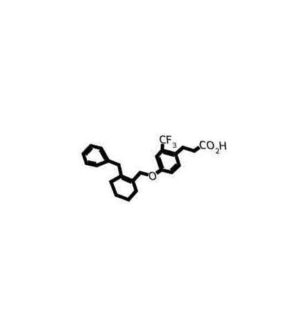 O=C(O)CCc1ccc(OCC2=C(Cc3ccccc3)CCCC2)cc1C(F)(F)F